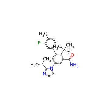 Cc1ccc(-c2cc(-n3ccnc3C(C)C)cc(C(N)=O)c2C(C)(C)C)cc1F